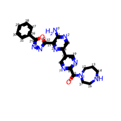 Nc1ncc(-c2cnc(C(=O)N3CCCNCC3)nc2)nc1-c1nnc(-c2ccccc2)o1